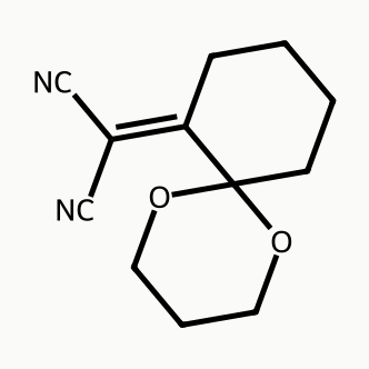 N#CC(C#N)=C1CCCCC12OCCCO2